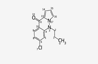 CCCn1c2cc(Cl)ccc2c(=O)c2cccn21